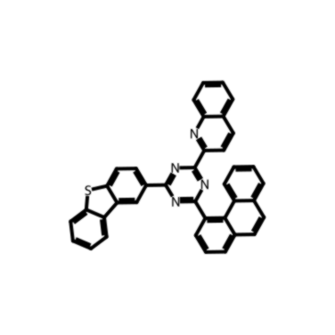 c1ccc2nc(-c3nc(-c4ccc5sc6ccccc6c5c4)nc(-c4cccc5ccc6ccccc6c45)n3)ccc2c1